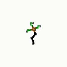 CCCS(F)(F)F